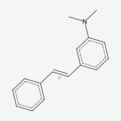 CN(C)c1cccc(/C=C/c2ccccc2)c1